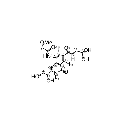 COCC(=O)Nc1c(I)c(C(=O)NCC(O)O)c(I)c(C(=O)N(C)CC(O)CO)c1I